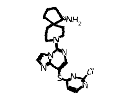 N[C@@H]1CCCC12CCN(c1ncc(Sc3ccnc(Cl)n3)c3nccn13)CC2